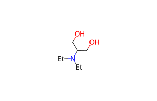 CCN(CC)C(CO)CO